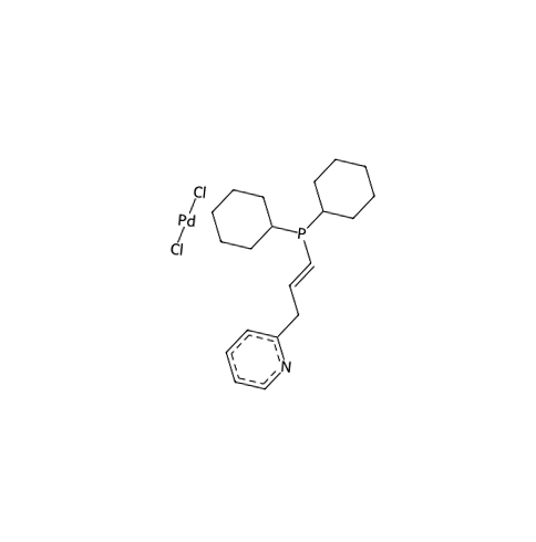 C(=CP(C1CCCCC1)C1CCCCC1)Cc1ccccn1.[Cl][Pd][Cl]